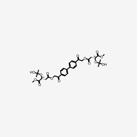 COC(=O)[C@@H](CC(=O)OCC(=O)c1ccc(-c2ccc(C(=O)COC(=O)C[C@@H](OC(C)(C)O)C(=O)OC)cc2)cc1)OC(C)(C)O